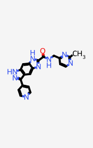 Cc1nccc(CNC(=O)c2nc3cc4c(-c5ccncc5)n[nH]c4cc3[nH]2)n1